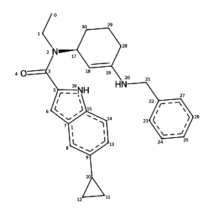 CCN(C(=O)c1cc2cc(C3CC3)ccc2[nH]1)[C@@H]1C=C(NCc2ccccc2)CCC1